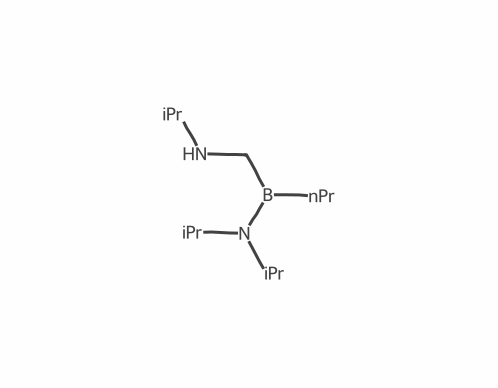 CCCB(CNC(C)C)N(C(C)C)C(C)C